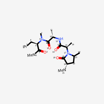 CNC(=O)[C@@H](CC(C)C)N(C)C(=O)[C@H](C)NC(=O)[C@@H](C)N1C(=O)[C@@H](NC)CC1C